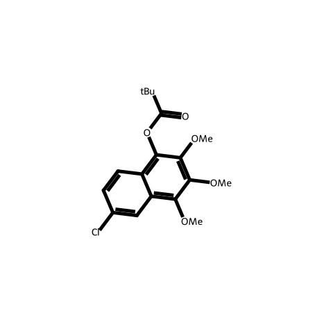 COc1c(OC)c(OC(=O)C(C)(C)C)c2ccc(Cl)cc2c1OC